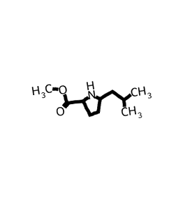 COC(=O)C1CCC(CC(C)C)N1